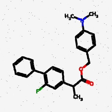 CC(C(=O)OCc1ccc(N(C)C)cc1)c1ccc(-c2ccccc2)c(F)c1